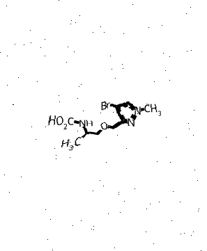 C[C@H](COCc1nn(C)cc1Br)NC(=O)O